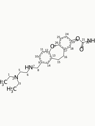 CCN(CC)CCNCc1ccc2c(c1)CCc1cc(OC(N)=O)ccc1O2